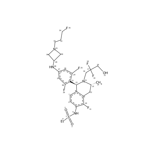 CCS(=O)(=O)Nc1ccc2c(c1F)C[C@@H](C)N(CC(F)(F)CO)[C@@H]2c1c(F)cc(NC2CN(CCCF)C2)cc1F